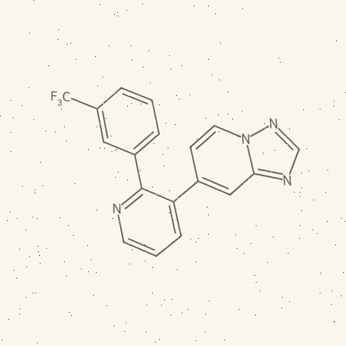 FC(F)(F)c1cccc(-c2ncccc2-c2ccn3ncnc3c2)c1